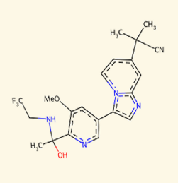 COc1cc(-c2cnc3cc(C(C)(C)C#N)ccn23)cnc1C(C)(O)NCC(F)(F)F